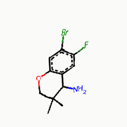 CC1(C)COc2cc(Br)c(F)cc2C1N